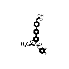 CCC1CN(C(=O)Nc2ccc(F)c(F)c2)c2ccc(-c3ccc([C@H]4CC[C@H](CC(=O)O)CC4)cc3)cc2O1